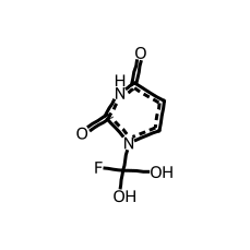 O=c1ccn(C(O)(O)F)c(=O)[nH]1